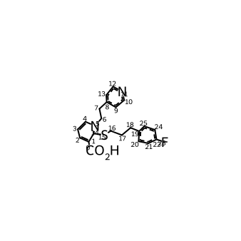 O=C(O)C1=CC=CN(CCc2ccncc2)C1SCCCc1ccc(F)cc1